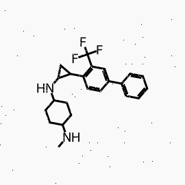 CNC1CCC(NC2CC2c2ccc(-c3ccccc3)cc2C(F)(F)F)CC1